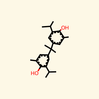 Cc1cc(C(C)(C)c2cc(C)c(O)c(C(C)C)c2)cc(C(C)C)c1O